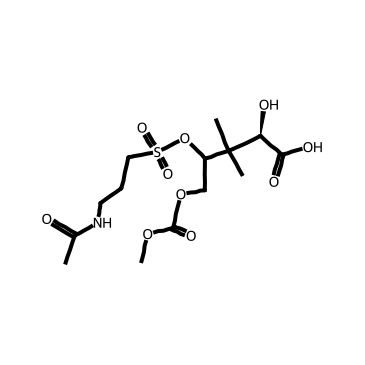 COC(=O)OCC(OS(=O)(=O)CCCNC(C)=O)C(C)(C)[C@@H](O)C(=O)O